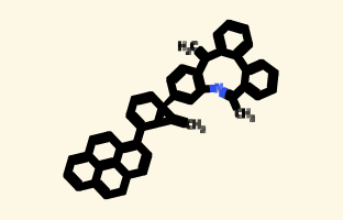 C=C1c2ccc([C@]34C=CC=C(C5=c6ccc7cccc8c7c6C(C=C5)CC=8)C3C4=C)cc2/N=C(\C)c2ccccc2-c2ccccc21